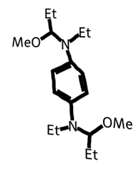 CCC(OC)N(CC)c1ccc(N(CC)C(CC)OC)cc1